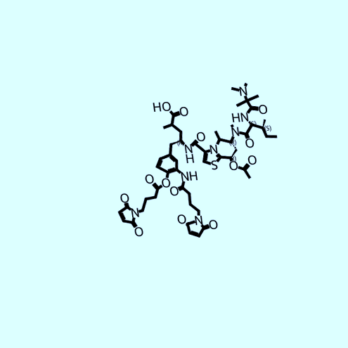 CC[C@H](C)[C@H](NC(=O)C(C)(C)N(C)C)C(=O)N(C)[C@H](C[C@@H](OC(C)=O)c1nc(C(=O)N[C@@H](Cc2ccc(OC(=O)CCCN3C(=O)C=CC3=O)c(NC(=O)CCCN3C(=O)C=CC3=O)c2)CC(C)C(=O)O)cs1)C(C)C